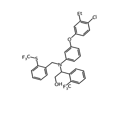 CCc1cc(Oc2cccc(N(Cc3ccccc3SC(F)(F)F)C(CO)c3ccccc3C(F)(F)F)c2)ccc1Cl